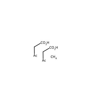 C.CC(=O)CC(=O)O.CC(=O)CC(=O)O